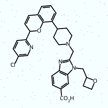 O=C(O)c1ccc2nc(CN3CCC(c4cccc5c4OC(c4ccc(Cl)cn4)C=C5)CC3)n(CC3CCO3)c2c1